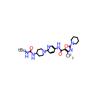 CC(C)(C)NC(=O)NC1CCN(c2ccc(NC(=O)c3oc(N4CCCCC4)nc3C(F)(F)F)cn2)CC1